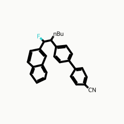 CCCCC(c1ccc(-c2ccc(C#N)cc2)cc1)C(F)c1ccc2ccccc2c1